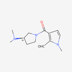 CN(C)[C@@H]1CCN(C(=O)c2ccn(C)c2C=O)C1